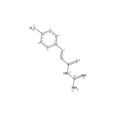 Cc1ccc(/C=C/C(=O)NC(=N)N)cc1